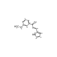 COc1cccc(C(=O)/C=C/c2ncc[nH]2)c1